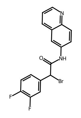 O=C(Nc1ccc2ncccc2c1)C(Br)c1ccc(F)c(F)c1